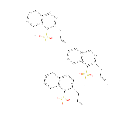 C=CCc1ccc2ccccc2c1S(=O)(=O)[O-].C=CCc1ccc2ccccc2c1S(=O)(=O)[O-].C=CCc1ccc2ccccc2c1S(=O)(=O)[O-].[Fe+3]